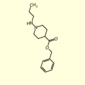 CCCNN1CCC(C(=O)OCc2ccccc2)CC1